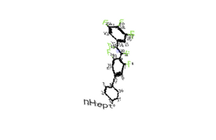 CCCCCCCC1CCC(c2cc(F)c(/C(F)=C(\F)c3cc(F)c(F)c(F)c3)c(F)c2)CC1